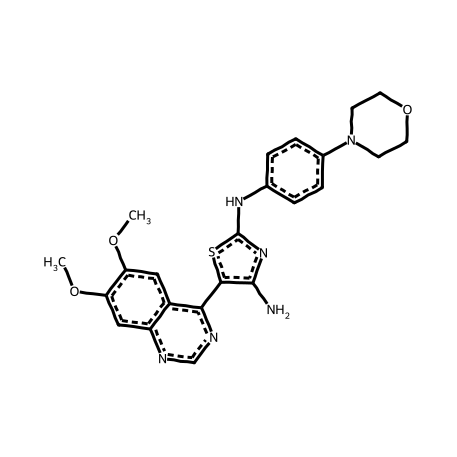 COc1cc2ncnc(-c3sc(Nc4ccc(N5CCOCC5)cc4)nc3N)c2cc1OC